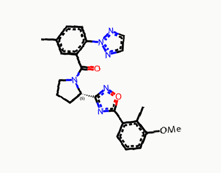 COc1cccc(-c2nc([C@@H]3CCCN3C(=O)c3cc(C)ccc3-n3nccn3)no2)c1C